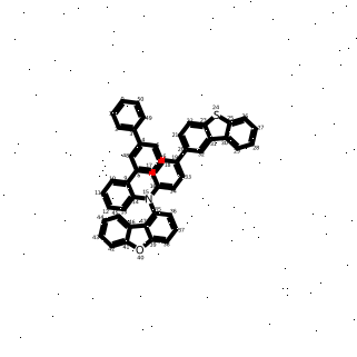 c1ccc(-c2cccc(-c3ccccc3N(c3ccc(-c4ccc5sc6ccccc6c5c4)cc3)c3cccc4oc5ccccc5c34)c2)cc1